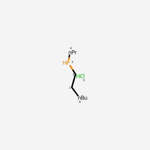 CCCCCCPCCC.Cl